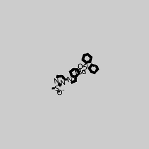 C[S+]([O-])c1nccc(-n2ccc3cc(O[Si](c4ccccc4)(c4ccccc4)C(C)(C)C)ccc32)n1